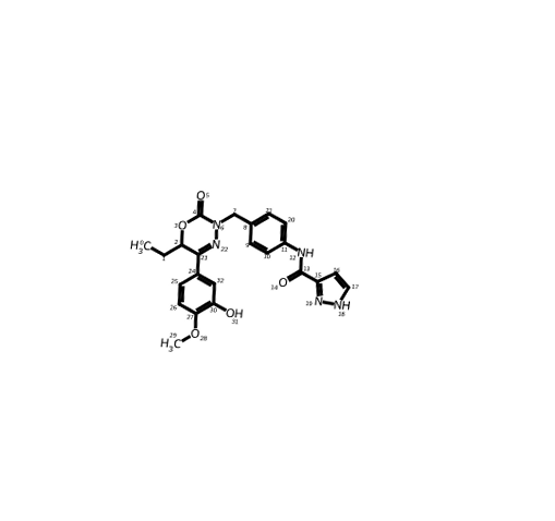 CCC1OC(=O)N(Cc2ccc(NC(=O)c3cc[nH]n3)cc2)N=C1c1ccc(OC)c(O)c1